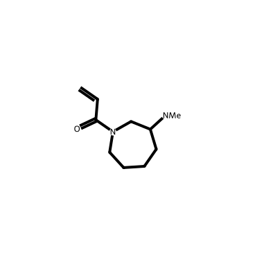 C=CC(=O)N1CCCCC(NC)C1